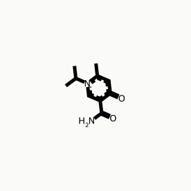 Cc1cc(=O)c(C(N)=O)cn1C(C)C